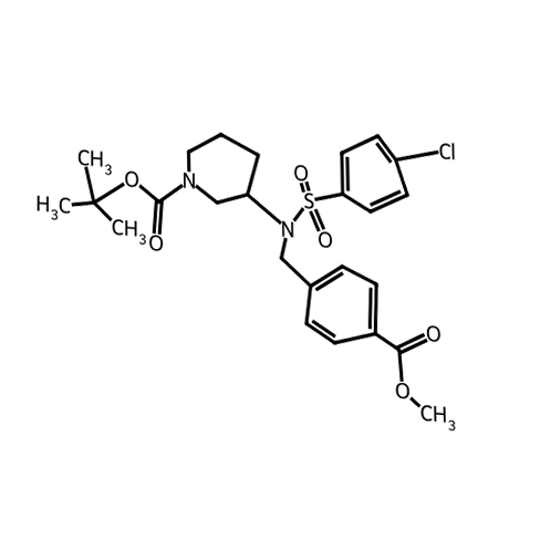 COC(=O)c1ccc(CN(C2CCCN(C(=O)OC(C)(C)C)C2)S(=O)(=O)c2ccc(Cl)cc2)cc1